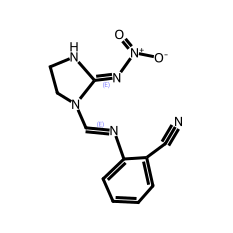 N#Cc1ccccc1/N=C/N1CCN/C1=N\[N+](=O)[O-]